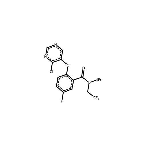 CC(C)N(CC(F)(F)F)C(=O)c1cc(F)ccc1Oc1cncnc1Cl